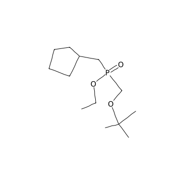 CCOP(=O)(COC(C)(C)C)CC1CCCC1